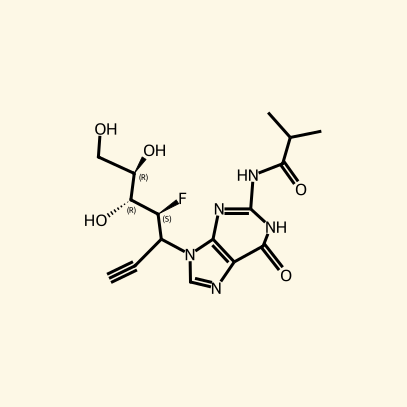 C#CC([C@H](F)[C@H](O)[C@H](O)CO)n1cnc2c(=O)[nH]c(NC(=O)C(C)C)nc21